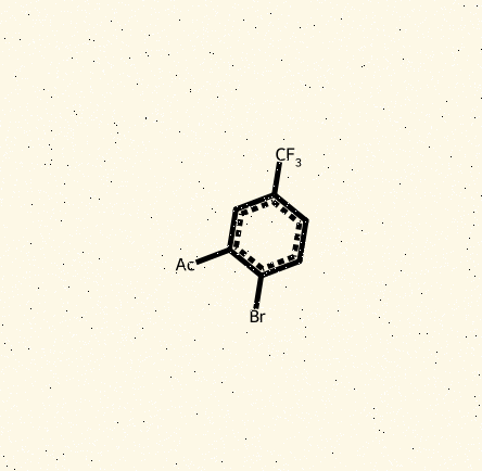 CC(=O)c1cc(C(F)(F)F)ccc1Br